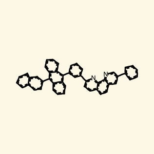 c1ccc(-c2cnc3c(ccc4ccc(-c5cccc(-c6c7ccccc7c(-c7ccc8ccccc8c7)c7ccccc67)c5)nc43)c2)cc1